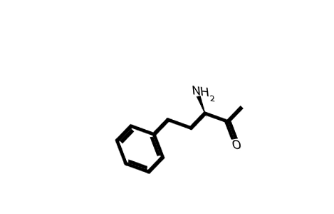 CC(=O)[C@H](N)CCc1ccccc1